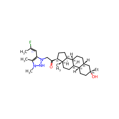 CC[C@@]1(O)CC[C@H]2[C@H](CC[C@@H]3[C@@H]2CC[C@]2(C)[C@@H](C(=O)CN4NN(C)C(C)=C4/C=C(\C)F)CC[C@@H]32)C1